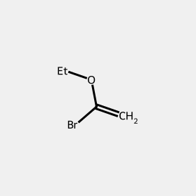 C=C(Br)OCC